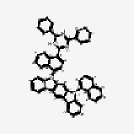 C1=CC(C2=NC(c3ccccc3)NC(c3ccc(-n4c5ccccc5c5cc6c7ccccc7n(-c7cccc8ccccc78)c6cc54)c4ccccc34)=N2)=CCC1